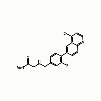 CNC(=O)CNCc1ccc(-c2ccc3nccc(Cl)c3c2)c(F)c1